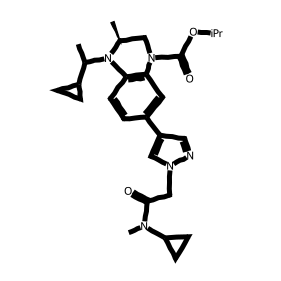 CC(C)OC(=O)N1C[C@H](C)N(C(C)C2CC2)c2ccc(-c3cnn(CC(=O)N(C)C4CC4)c3)cc21